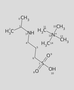 CC(C)NCCCS(=O)(=O)O.C[N+](C)(C)C